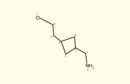 NCC1CC(CCCl)C1